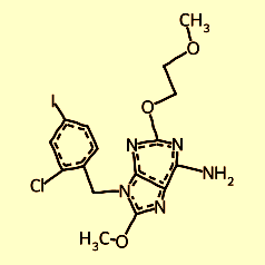 COCCOc1nc(N)c2nc(OC)n(Cc3ccc(I)cc3Cl)c2n1